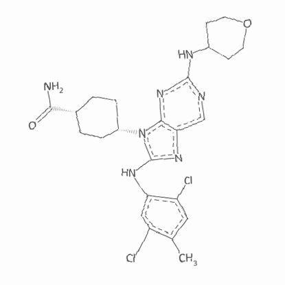 Cc1cc(Cl)c(Nc2nc3cnc(NC4CCOCC4)nc3n2[C@H]2CC[C@@H](C(N)=O)CC2)cc1Cl